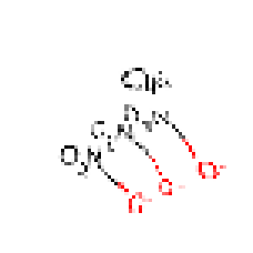 O=[N+]([O-])[O-].O=[N+]([O-])[O-].O=[N+]([O-])[O-].[Cu+3]